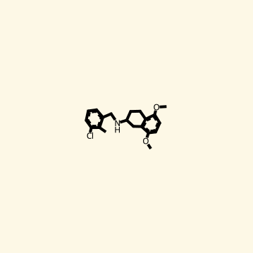 COc1ccc(OC)c2c1CCC(NCc1cccc(Cl)c1C)C2